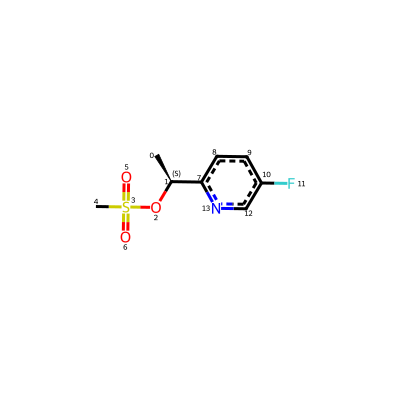 C[C@H](OS(C)(=O)=O)c1ccc(F)cn1